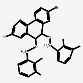 Cc1cccc([SiH2]OC2c3cc(Br)ccc3-c3ccc(Br)cc3C2O[SiH2]c2cccc(C)c2C)c1C